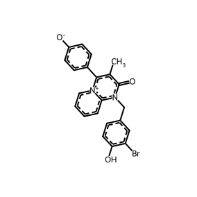 Cc1c(-c2ccc([O-])cc2)[n+]2ccccc2n(Cc2ccc(O)c(Br)c2)c1=O